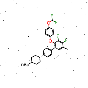 CCCC[C@H]1CC[C@H](c2ccc(-c3cc(C)c(F)c(F)c3Oc3ccc(OC(F)F)cc3)cc2)CC1